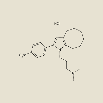 CN(C)CCCn1c(-c2ccc([N+](=O)[O-])cc2)cc2c1CCCCCC2.Cl